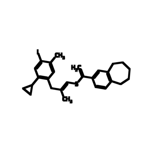 C=C(S/C=C(\C)Cc1cc(C)c(I)cc1C1CC1)c1ccc2c(c1)CCCCC2